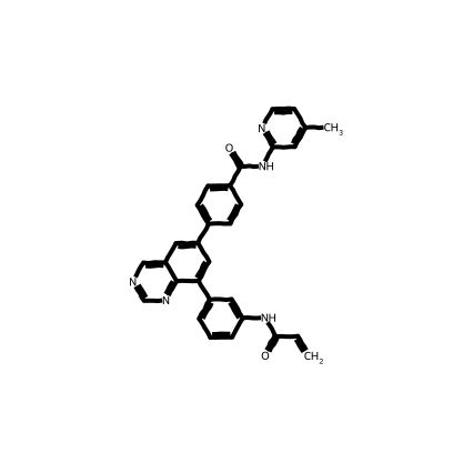 C=CC(=O)Nc1cccc(-c2cc(-c3ccc(C(=O)Nc4cc(C)ccn4)cc3)cc3cncnc23)c1